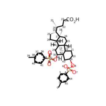 Cc1ccc(S(=O)(=O)O[C@@H]2CC[C@]3(C)[C@H]4CC[C@]5(C)[C@@H]([C@H](C)CCC(=O)O)CC[C@H]5[C@@H]4C[C@H](OS(=O)(=O)c4ccc(C)cc4)[C@@H]3C2)cc1